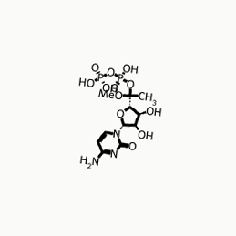 COC(C)(OP(=O)(O)OP(=O)(O)O)[C@H]1O[C@@H](n2ccc(N)nc2=O)[C@H](O)[C@@H]1O